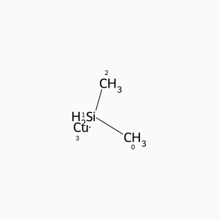 C[SiH2]C.[Cu]